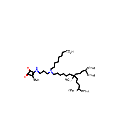 CCCCCC(CCCCC)CCCC(CCCCCCN(CCCCCCCC(=O)O)CCCNc1c(NC)c(=O)c1=O)(CCCC(CCCCC)CCCCC)C(=O)O